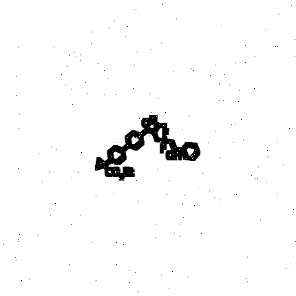 CCOC(=O)C1(c2ccc(-c3ccc(-c4onc(C)c4CC(F)(F)/C=C(\O)c4ccccc4)cc3)cc2)CC1